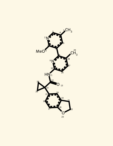 COc1ncc(C)cc1-c1nc(NC(=O)C2(c3ccc4c(c3)CCO4)CC2)ccc1C